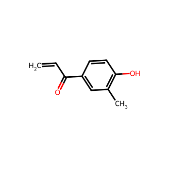 C=CC(=O)c1ccc(O)c(C)c1